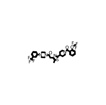 Cc1sc(C2CCN(C(=O)c3ccccc3OC(F)(F)F)CC2)nc1CC(=O)N1CCN(c2cccc(C(F)(F)F)c2)CC1